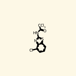 O=C(Nc1nc2c(Cl)cccc2s1)C(Cl)(Cl)Cl